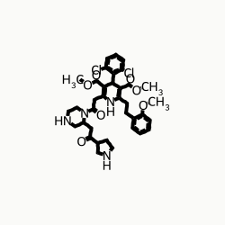 COC(=O)C1=C(CCc2ccccc2OC)NC(CC(=O)N2CCNCC2CC(=O)C2CCNC2)=C(C(=O)OC)C1c1c(Cl)cccc1Cl